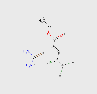 CCOC(=O)C=CC(F)C(F)F.NC(N)=S